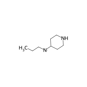 CCC[N]C1CCNCC1